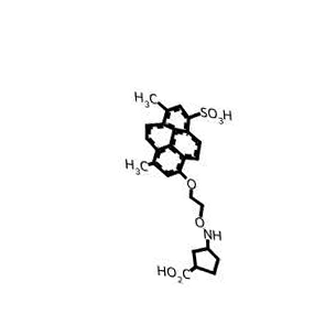 Cc1cc(OCCONC2CCC(C(=O)O)C2)c2ccc3c(S(=O)(=O)O)cc(C)c4ccc1c2c43